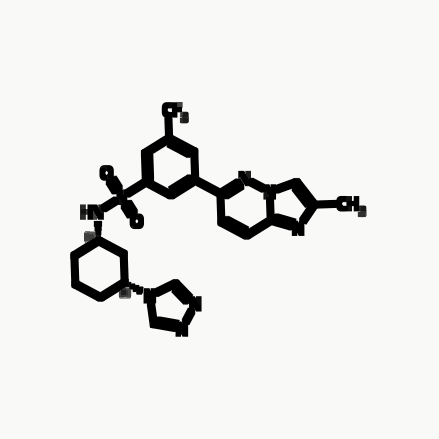 Cc1cn2nc(-c3cc(C(F)(F)F)cc(S(=O)(=O)N[C@H]4CCC[C@@H](n5cnnc5)C4)c3)ccc2n1